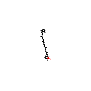 CC1=C(C#C/C(C)=C/C=C/C(C)=C/C=C/C=C(C)/C=C/C=C(C)/C=C/[C@@]23O[C@@H](CC2(C)C)C(=O)[C@@H]3C)C(C)(C)CC=C1